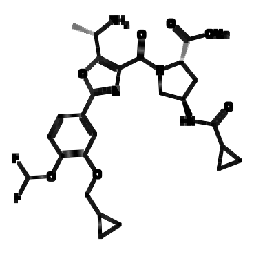 COC(=O)[C@@H]1C[C@@H](NC(=O)C2CC2)CN1C(=O)c1nc(-c2ccc(OC(F)F)c(OCC3CC3)c2)oc1[C@H](C)N